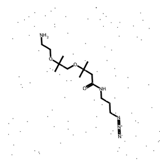 CC(C)(COC(C)(C)CC(=O)NCCCN=[N+]=[N-])OCCN